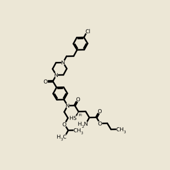 CCCOC(=O)C(N)C[C@@H](S)C(=O)N(CCOC(C)C)c1ccc(C(=O)N2CCN(CCc3ccc(Cl)cc3)CC2)cc1